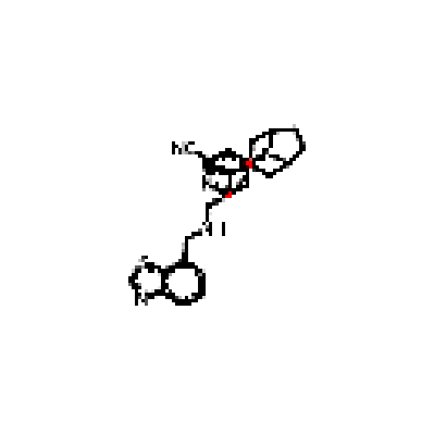 N#Cc1cc(N2C3CCC2CN(C(=O)CCNCc2cccc4ncsc24)C3)ccn1